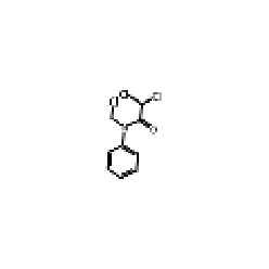 O=C(C(Cl)Cl)N(CCl)c1ccccc1